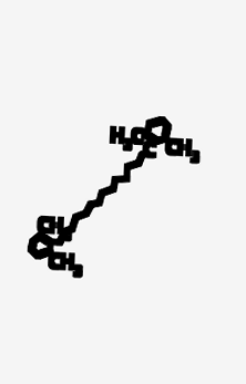 Cc1cccc(C)c1CCCCCCCCCCCCCCCc1c(C)cccc1C